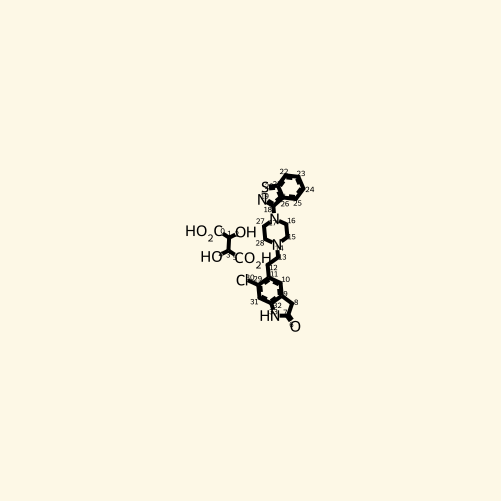 O=C(O)C(O)C(O)C(=O)O.O=C1Cc2cc(CCN3CCN(c4nsc5ccccc45)CC3)c(Cl)cc2N1